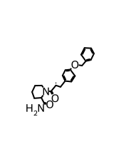 NC(=O)C1CCCCN1C(=O)[CH]Cc1ccc(OCc2ccccc2)cc1